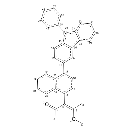 CO/C(C)=C(\C(C)=O)c1ccc(-c2ccc3c(c2)c2ccccc2n3-c2ccccc2)c2ccccc12